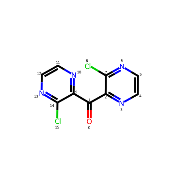 O=C(c1nccnc1Cl)c1nccnc1Cl